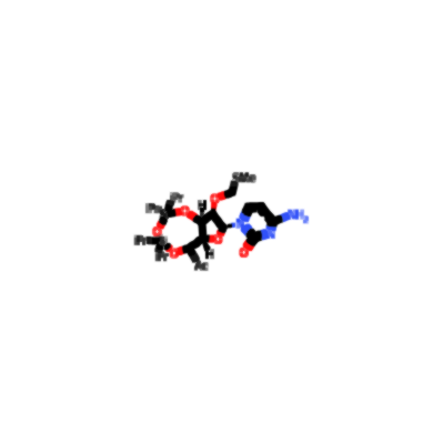 CSCO[C@@H]1[C@@H]2O[Si](C(C)C)(C(C)C)O[Si](C(C)C)(C(C)C)OC(C(C)=O)[C@H]2O[C@H]1n1ccc(N)nc1=O